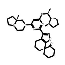 C[C@H](Oc1cc(N2CCN3CCC[C@]3(C)C2)nc(-c2noc3c2CCC[C@@]32CCCCC2=O)n1)[C@@H]1CCCN1C